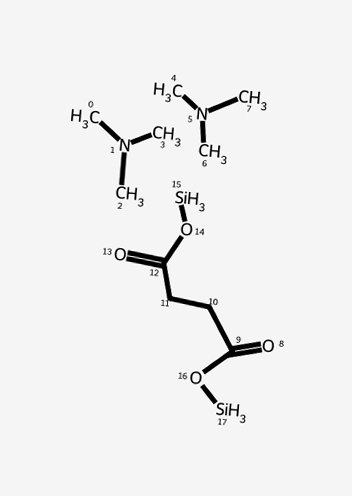 CN(C)C.CN(C)C.O=C(CCC(=O)O[SiH3])O[SiH3]